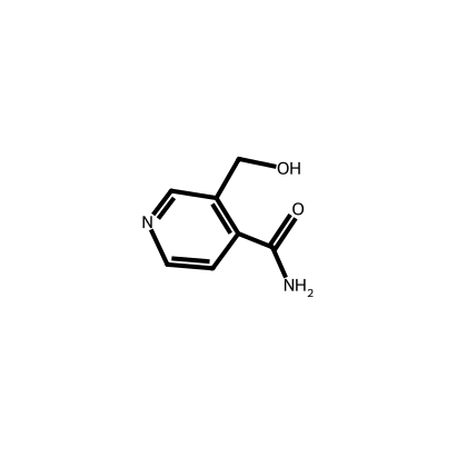 NC(=O)c1ccncc1CO